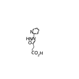 O=C(O)CCC1=CN(c2ccccn2)NO1